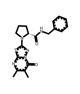 Cc1nc2sc(N3CCC[C@@H]3C(=O)NCc3ccccc3)nn2c(=O)c1C